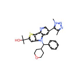 Cc1nnn(C)c1-c1cnc2c3sc(C(C)(C)O)cc3n(C(c3ccccc3)C3CCOCC3)c2c1